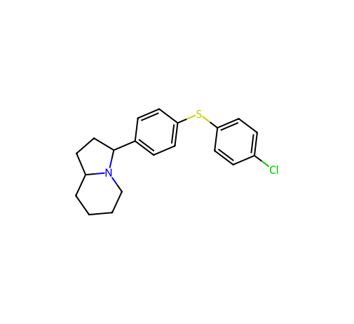 Clc1ccc(Sc2ccc(C3CCC4CCCCN43)cc2)cc1